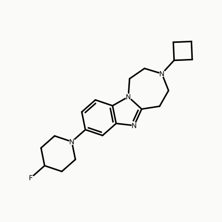 FC1CCN(c2ccc3c(c2)nc2n3CCN(C3CCC3)CC2)CC1